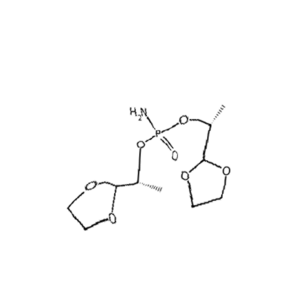 C[C@@H](OP(N)(=O)O[C@H](C)C1OCCO1)C1OCCO1